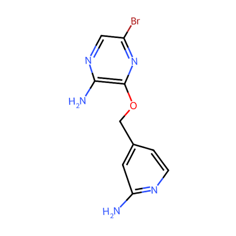 Nc1cc(COc2nc(Br)cnc2N)ccn1